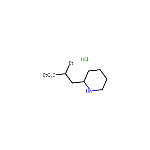 CCOC(=O)C(CC)CC1CCCCN1.Cl